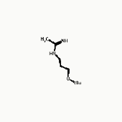 CC(=N)NCCCOC(C)(C)C